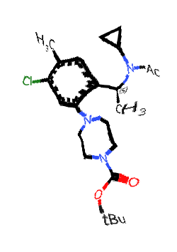 CC(=O)N(C1CC1)[C@@H](C)c1cc(C)c(Cl)cc1N1CCN(C(=O)OC(C)(C)C)CC1